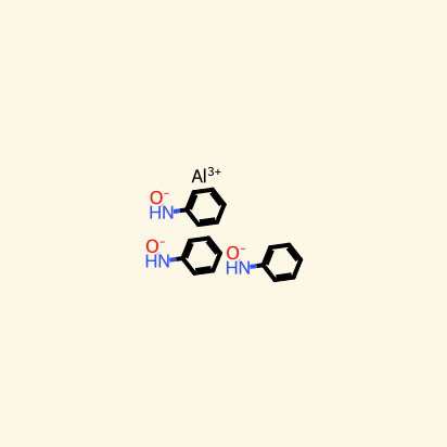 [Al+3].[O-]Nc1ccccc1.[O-]Nc1ccccc1.[O-]Nc1ccccc1